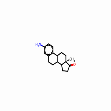 C[C@]12CCC3c4ccc(N)cc4CCC3C1CCC2=O